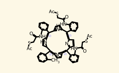 CC(=O)SCC(=O)Nc1ccccc1/C1=C2\C=CC(=N2)/C(c2ccccc2NC(=O)CSC(C)=O)=c2/cc/c([nH]2)=C(\c2ccccc2C)C2C=C/C(=C(\c3ccccc3NC(=O)CSC(C)=O)c3ccc1[nH]3)N2